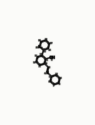 Oc1c(/C=N/c2ccccc2)cccc1-c1ccccn1